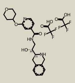 O=C(NC[C@@H](O)[C@@H]1Cc2ccccc2CN1)c1ccnc(OC2CCOCC2)c1.O=C(O)C(F)(F)F.O=C(O)C(F)(F)F